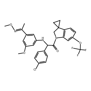 CON=C(C)c1cc(NC(C(=O)N2CC3(CC3)c3ccc(OC(F)(F)F)cc32)c2ccc(Cl)cc2)cc(OC)c1